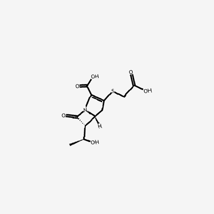 C[C@H](O)[C@@H]1C(=O)N2C(C(=O)O)=C(SCC(=O)O)C[C@H]12